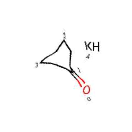 O=C1CC1.[KH]